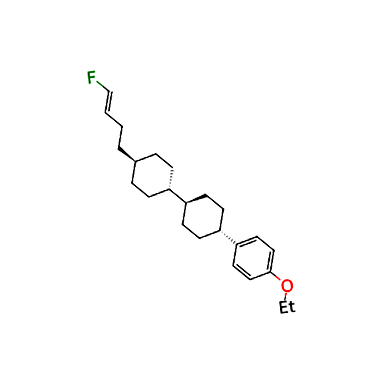 CCOc1ccc([C@H]2CC[C@H]([C@H]3CC[C@H](CC/C=C/F)CC3)CC2)cc1